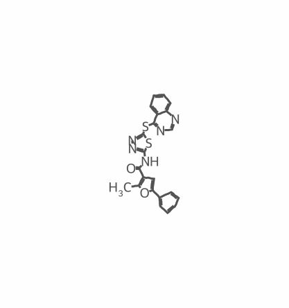 Cc1oc(-c2ccccc2)cc1C(=O)Nc1nnc(Sc2ncnc3ccccc23)s1